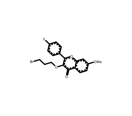 COc1ccc2c(=O)c(OCCCBr)c(-c3ccc(F)cc3)oc2c1